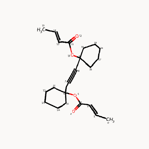 C/C=C/C(=O)OC1(C#CC2(OC(=O)/C=C/C)CCCCC2)CCCCC1